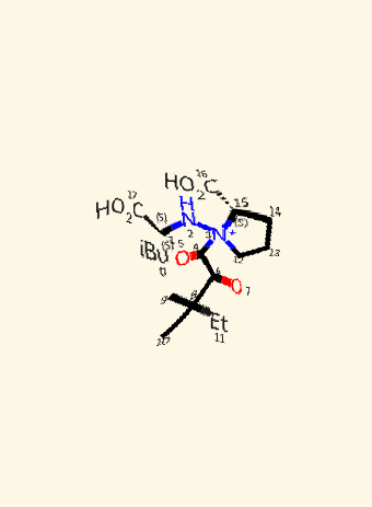 CC[C@H](C)[C@H](N[N+]1(C(=O)C(=O)C(C)(C)CC)CCC[C@H]1C(=O)O)C(=O)O